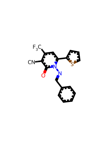 [C-]#[N+]c1c(C(F)(F)F)cc(-c2cccs2)n(/N=C/c2ccccc2)c1=O